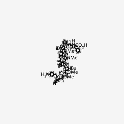 CC[C@H](C)C([C@@H](CC(=O)N1CCC[C@H]1[C@H](OC)[C@@H](C)C(=O)N[C@H](CN=[N+]=[N-])Cc1ccc(N)cc1)OC)N(C)C(=O)[C@@H](NC(=O)[C@H](C(C)CCC(C)[C@H](NC(=O)[C@@H](NC)C(C)C)C(=O)N(C)C([C@@H](C)CC)[C@@H](CC(=O)N1CCC[C@H]1C(OC)[C@@H](C)C(=O)N[C@@H](Cc1ccccc1)C(=O)O)OC)N(C)C)C(C)C